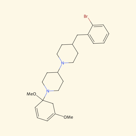 COC1=CC=CC(OC)(N2CCC(N3CCC(Cc4ccccc4Br)CC3)CC2)C1